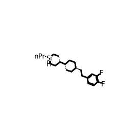 CCC[Si@H]1CC[C@H]([C@H]2CC[C@H](CCc3ccc(F)c(F)c3)CC2)CC1